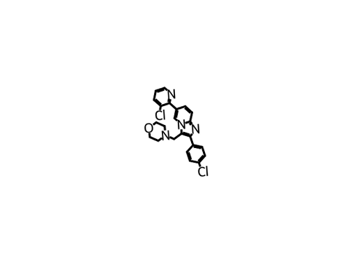 Clc1ccc(-c2nc3ccc(-c4ncccc4Cl)cn3c2CN2CCOCC2)cc1